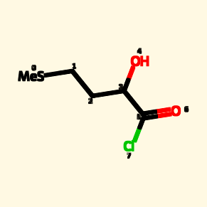 CSCCC(O)C(=O)Cl